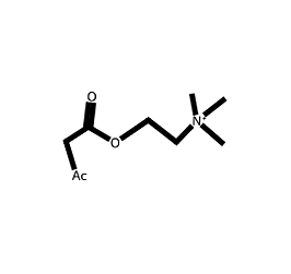 CC(=O)CC(=O)OCC[N+](C)(C)C